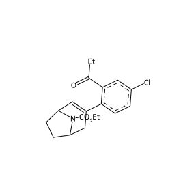 CCOC(=O)N1C2C=C(c3ccc(Cl)cc3C(=O)CC)CC1CC2